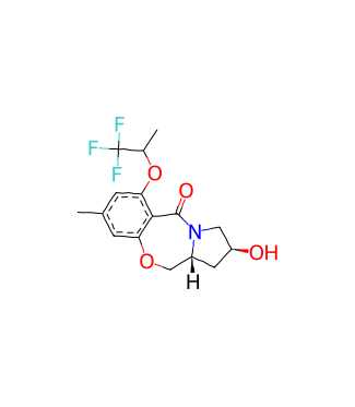 Cc1cc2c(c(OC(C)C(F)(F)F)c1)C(=O)N1C[C@@H](O)C[C@@H]1CO2